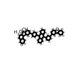 CC1(C)c2ccc(-c3ccc(-c4c5ccccc5c(-c5cccc(-c6ccc7oc8ccccc8c7c6)c5)c5ccccc45)cc3)cc2-c2c1ccc1ccccc21